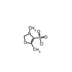 CC1=C(S(=O)(=O)Cl)N(C)CO1